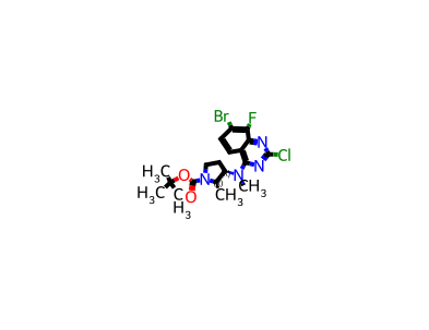 C[C@@H]1[C@H](N(C)c2nc(Cl)nc3c(F)c(Br)ccc23)CCN1C(=O)OC(C)(C)C